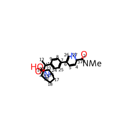 CNC(=O)c1ccc(-c2ccc(C(C)C(=O)N3C4CCC3CC(O)C4)cc2)cn1